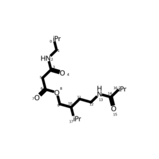 CC(C)CNC(=O)CC(=O)OCC(CCNC(=O)C(C)C)C(C)C